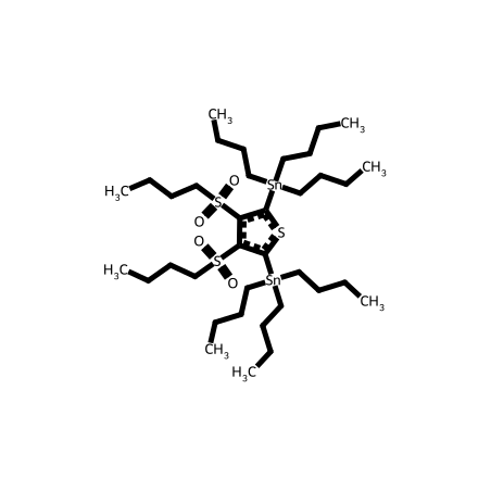 CCCCS(=O)(=O)c1[c]([Sn]([CH2]CCC)([CH2]CCC)[CH2]CCC)s[c]([Sn]([CH2]CCC)([CH2]CCC)[CH2]CCC)c1S(=O)(=O)CCCC